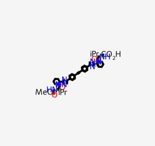 COC(=O)N[C@H](C(=O)N1CCCCC1c1nc(-c2ccc(C#Cc3ccc(-c4c[nH]c([C@@H]5CCCCN5C(=O)[C@@H](NC(=O)O)C(C)C)n4)cc3)cc2)c[nH]1)C(C)C